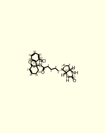 O=C(CCCC[C@@H]1SC[C@@H]2NC(=O)N[C@@H]21)NC1(c2ccccc2Cl)CCC=CC1=O